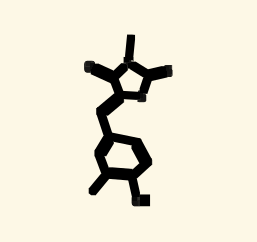 Cc1cc(/C=C2\SC(=S)N(C)C2=O)ccc1O